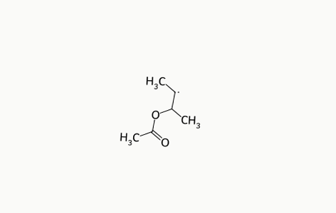 C[CH]C(C)OC(C)=O